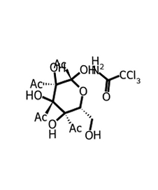 CC(=O)[C@@]1(O)[C@](O)(C(C)=O)[C@@](O)(C(C)=O)O[C@H](CO)[C@]1(O)C(C)=O.NC(=O)C(Cl)(Cl)Cl